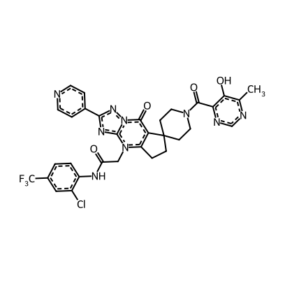 Cc1ncnc(C(=O)N2CCC3(CCc4c3c(=O)n3nc(-c5ccncc5)nc3n4CC(=O)Nc3ccc(C(F)(F)F)cc3Cl)CC2)c1O